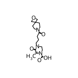 C[C@H]1C(=O)N(CCCC(=O)N2CCC3(CC2)COC3)CCN1C(=O)O